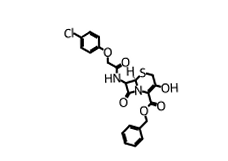 O=C(COc1ccc(Cl)cc1)NC1C(=O)N2C(C(=O)OCc3ccccc3)=C(O)CS[C@H]12